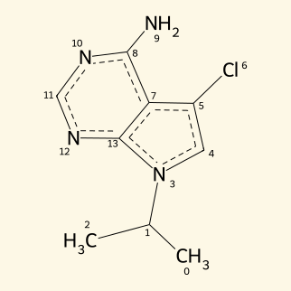 CC(C)n1cc(Cl)c2c(N)ncnc21